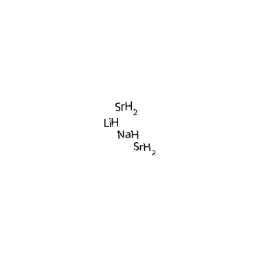 [LiH].[NaH].[SrH2].[SrH2]